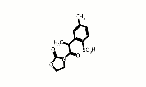 Cc1ccc(S(=O)(=O)O)c(C(C)C(=O)N2CCOC2=O)c1